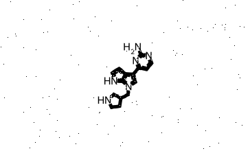 Nc1nccc(-c2cn(CC3CCNC3)c3[nH]ccc23)n1